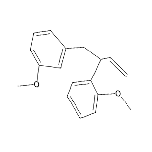 C=CC(Cc1cccc(OC)c1)c1ccccc1OC